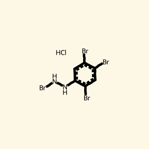 BrNNc1cc(Br)c(Br)cc1Br.Cl